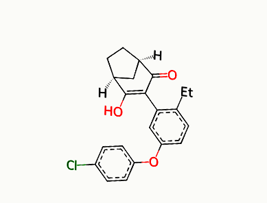 CCc1ccc(Oc2ccc(Cl)cc2)cc1C1=C(O)[C@H]2CC[C@H](C2)C1=O